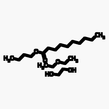 CCCCCCCCCC(=O)OCCCC.CCOCC.OCCO